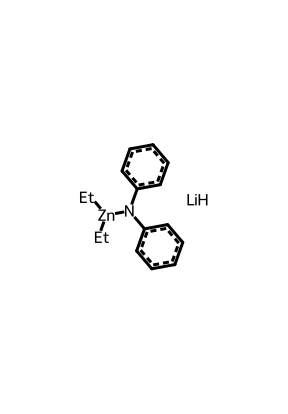 C[CH2][Zn]([CH2]C)[N](c1ccccc1)c1ccccc1.[LiH]